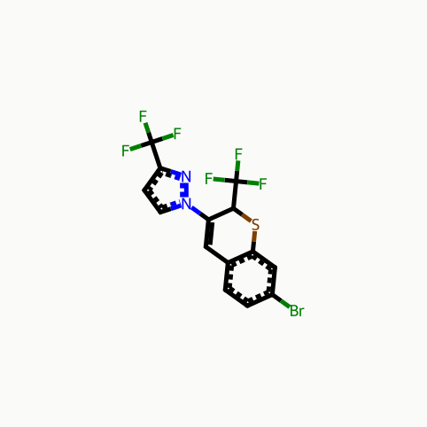 FC(F)(F)c1ccn(C2=Cc3ccc(Br)cc3SC2C(F)(F)F)n1